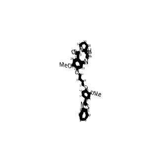 COc1cc(-c2nc3ccccc3s2)ccc1OCCCCOc1cc2c(cc1OC)C(=O)N1CCC[C@H]1C=N2